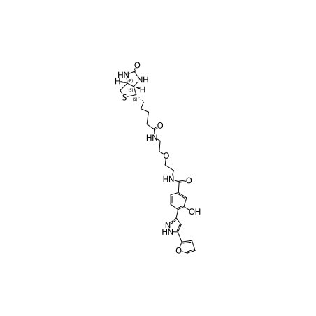 O=C(CCCC[C@@H]1SC[C@@H]2NC(=O)N[C@@H]21)NCCOCCNC(=O)c1ccc(-c2cc(-c3ccco3)[nH]n2)c(O)c1